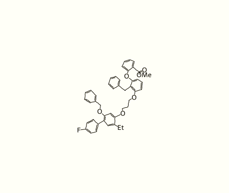 CCc1cc(-c2ccc(F)cc2)c(OCc2ccccc2)cc1OCCCOc1cccc(Oc2ccccc2C(=O)OC)c1Cc1ccccc1